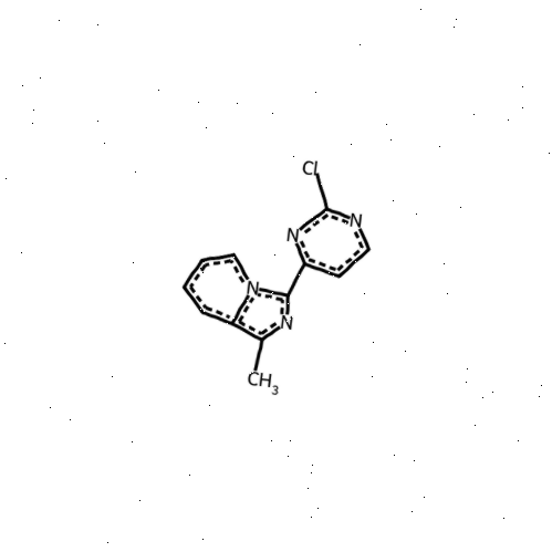 Cc1nc(-c2ccnc(Cl)n2)n2ccccc12